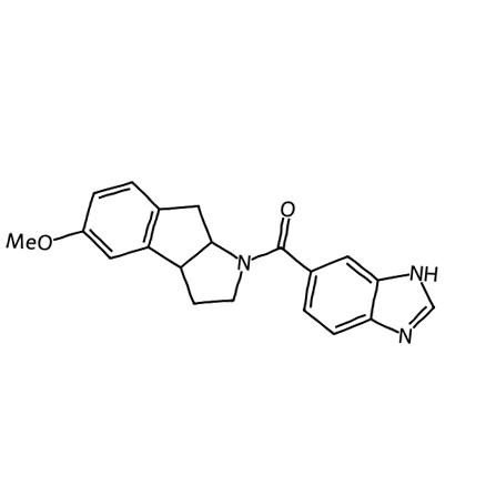 COc1ccc2c(c1)C1CCN(C(=O)c3ccc4nc[nH]c4c3)C1C2